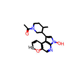 CC(=O)N1CCC(C)C(c2cn(O)c3ncc4c(c23)C=CBO4)C1